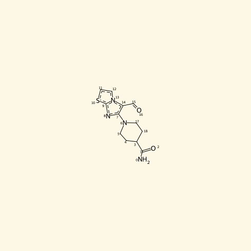 NC(=O)C1CCN(c2nc3sccn3c2C=O)CC1